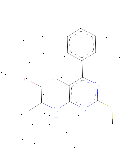 CSc1nc(NC(C)CO)c(Br)c(-c2ccccc2)n1